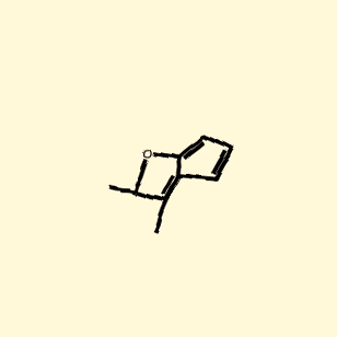 C[C]1OC2=CC=CC2=C1C